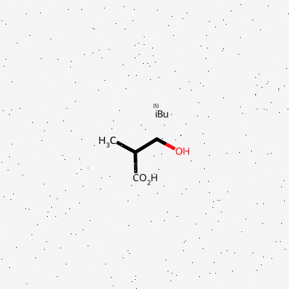 CC[C@H](C)C(O)C(C)C(=O)O